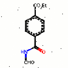 CCOC(=O)c1ccc(C(=O)NC=O)cc1